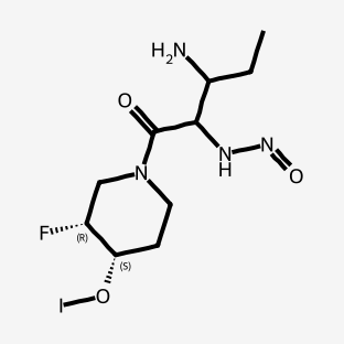 CCC(N)C(NN=O)C(=O)N1CC[C@H](OI)[C@H](F)C1